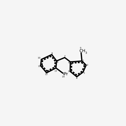 Cc1ccccc1Cc1ccccc1C(C)C